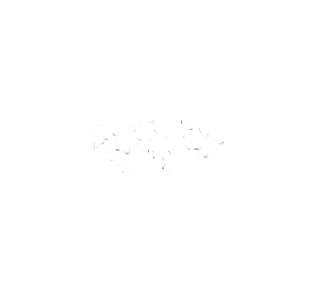 O=C1OC2(COc3cc4c(cc32)OCO4)c2ccccc2N1Cc1ccc(C(F)(F)F)o1